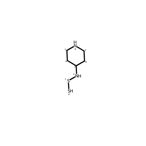 SSNC1CCNCC1